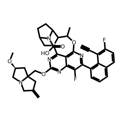 C#Cc1c(F)ccc2cccc(-c3nc4c5c(nc(OCC67CC(=C)CN6C[C@@H](OC)C7)nc5c3F)N3CC5CCC(C3C(C)O4)N5C(=O)O)c12